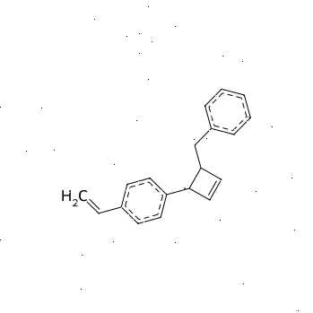 C=Cc1ccc([C]2C=CC2Cc2ccccc2)cc1